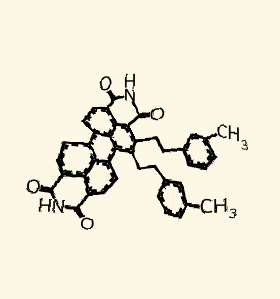 Cc1cccc(CCc2c3c4c(ccc5c6ccc7c8c(ccc(c(c2CCc2cccc(C)c2)c45)c86)C(=O)NC7=O)C(=O)NC3=O)c1